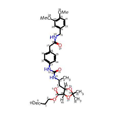 CCCCCCCCCCCCO[C@H]1O[C@H]([C@H](C)NC(=O)Nc2ccc(CC(=O)NCc3ccc(OC)c(OC)c3)cc2)[C@@H]2OC(C)(C)O[C@H]12